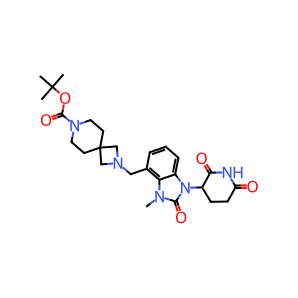 Cn1c(=O)n(C2CCC(=O)NC2=O)c2cccc(CN3CC4(CCN(C(=O)OC(C)(C)C)CC4)C3)c21